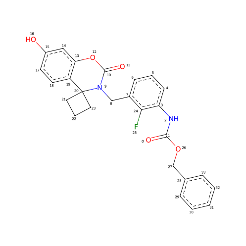 O=C(Nc1cccc(CN2C(=O)Oc3cc(O)ccc3C23CCC3)c1F)OCc1ccccc1